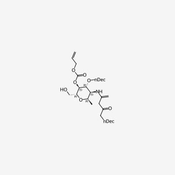 C=CCOC(=O)O[C@H]1[C@H](OCCCCCCCCCC)[C@@H](NC(=C)CC(=O)CCCCCCCCCCC)[C@@H](C)O[C@@H]1CO